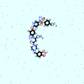 CC(CC(=O)N1CCN(Cc2ccc3c(c2)OCO3)CC1)Nc1ccc(Oc2ccc(NS(=O)(=O)c3ccc(C(F)(F)F)cc3)cn2)c(F)c1